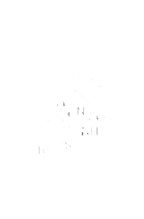 Cc1ccc(-n2c(=O)[nH]c3sc(Br)c(C)c3c2=O)cc1